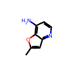 Cc1cc2nccc(N)c2o1